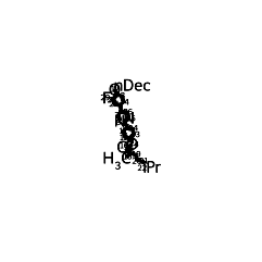 CCCCCCCCCCOc1ccc(-c2cnc(-c3ccc(OC(=O)C(C)CCCC(C)C)cc3)nc2)cc1F